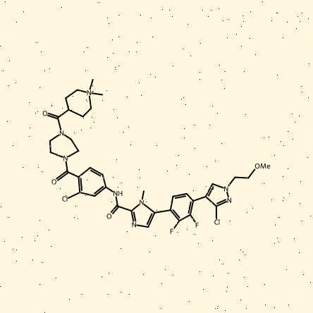 COCCn1cc(-c2ccc(-c3cnc(C(=O)Nc4ccc(C(=O)N5CCN(C(=O)C6CC[N+](C)(C)CC6)CC5)c(Cl)c4)n3C)c(F)c2F)c(Cl)n1